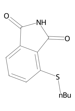 CCCCSc1cccc2c1C(=O)NC2=O